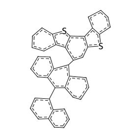 c1ccc2c(-c3c4ccccc4c(-c4cc5sc6ccccc6c5c5sc6ccccc6c45)c4ccccc34)cccc2c1